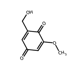 COC1=CC(=O)C=C(CO)C1=O